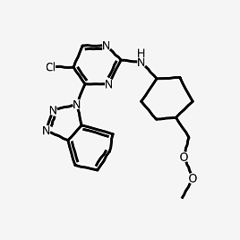 COOCC1CCC(Nc2ncc(Cl)c(-n3nnc4ccccc43)n2)CC1